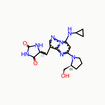 O=C1NC(=O)/C(=C/c2cnn3c(NC4CC4)cc(N4CCC[C@H]4CO)nc23)N1